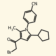 Cc1c(C(=O)CBr)cc(C2CCCC2)n1-c1ccc(C#N)cc1